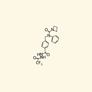 O=C(NNC(=O)C(F)(F)F)c1ccc(CN(C(=O)N2CCC2)c2ccccc2)cc1